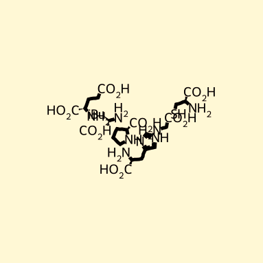 CC[C@H](C)[C@H](N)C(=O)O.NCC(=O)O.N[C@@H](CCC(=O)O)C(=O)O.N[C@@H](CS)C(=O)O.N[C@@H](Cc1c[nH]cn1)C(=O)O.O=C(O)[C@@H]1CCCN1